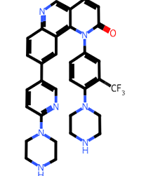 O=c1ccc2cnc3ccc(-c4ccc(N5CCNCC5)nc4)cc3c2n1-c1ccc(N2CCNCC2)c(C(F)(F)F)c1